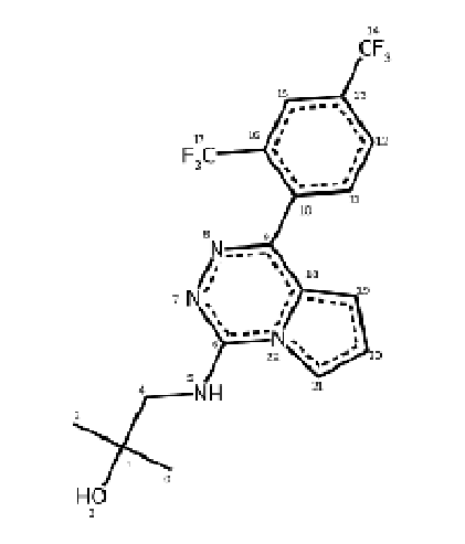 CC(C)(O)CNc1nnc(-c2ccc(C(F)(F)F)cc2C(F)(F)F)c2cccn12